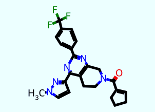 Cn1ccc(-c2nc(-c3ccc(C(F)(F)F)cc3)nc3c2CCN(C(=O)C2=CCCC2)C3)n1